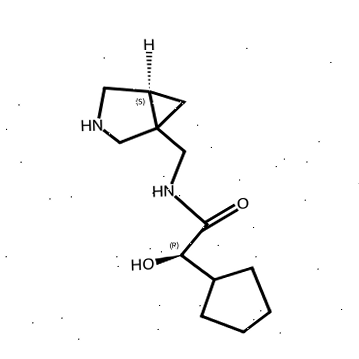 O=C(NCC12CNC[C@H]1C2)[C@H](O)C1CCCC1